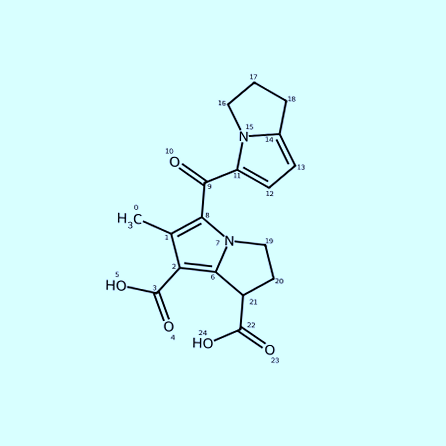 Cc1c(C(=O)O)c2n(c1C(=O)c1ccc3n1CCC3)CCC2C(=O)O